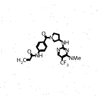 C=CC(=O)Nc1ccc(C(=O)N2CCC(Nc3ncc(C(F)(F)F)c(NC)n3)C2)cc1